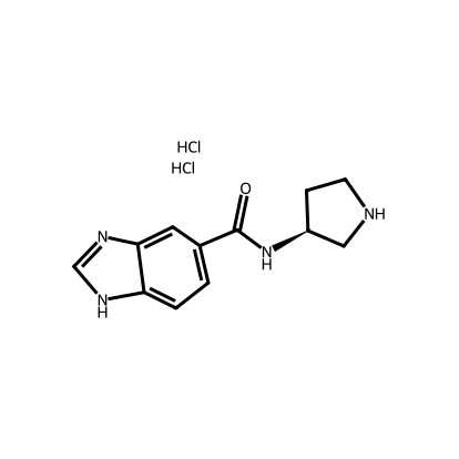 Cl.Cl.O=C(N[C@H]1CCNC1)c1ccc2[nH]cnc2c1